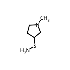 CN1CCC(SN)C1